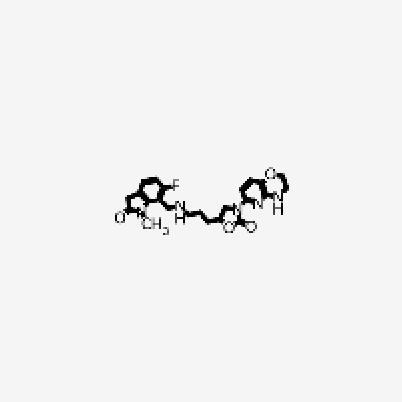 CN1C(=O)Cc2ccc(F)c(CNCCCC3CN(c4ccc5c(n4)NCCO5)C(=O)O3)c21